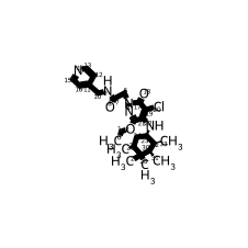 CCOc1nn(CC(=O)NCc2ccncc2)c(=O)c(Cl)c1N[C@@H]1C[C@H](C)C(C)(C)[C@H](C)[C@H]1C